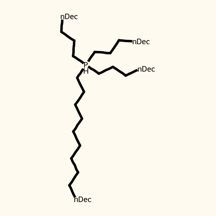 CCCCCCCCCCCCCCCCCCC[PH](CCCCCCCCCCCCC)(CCCCCCCCCCCCC)CCCCCCCCCCCCC